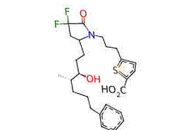 C[C@@H](CCCc1ccccc1)[C@H](O)CCC1CC(F)(F)C(=O)N1CCCc1ccc(C(=O)O)s1